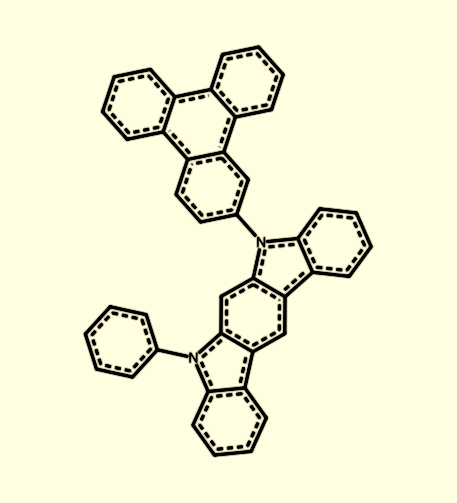 c1ccc(-n2c3ccccc3c3cc4c5ccccc5n(-c5ccc6c7ccccc7c7ccccc7c6c5)c4cc32)cc1